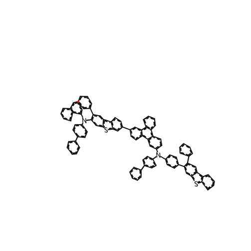 c1ccc(-c2ccc(N(c3ccc(-c4cc5sc6ccccc6c5cc4-c4ccccc4)cc3)c3ccc4c5ccccc5c5cc(-c6ccc7c(c6)sc6cc(N(c8ccc(-c9ccccc9)cc8)c8cccc9ccccc89)c(-c8ccccc8)cc67)ccc5c4c3)cc2)cc1